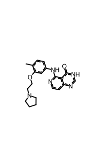 Cc1ccc(Nc2nccc3nc[nH]c(=O)c23)cc1OCCN1CCCC1